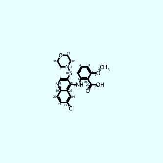 COc1cccc(Nc2c(SN3CCOCC3)cnc3ccc(Cl)cc23)c1C(=O)O